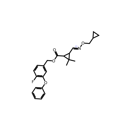 CC1(C)C(/C=N/OCC2CC2)C1C(=O)OCc1ccc(F)c(Oc2ccccc2)c1